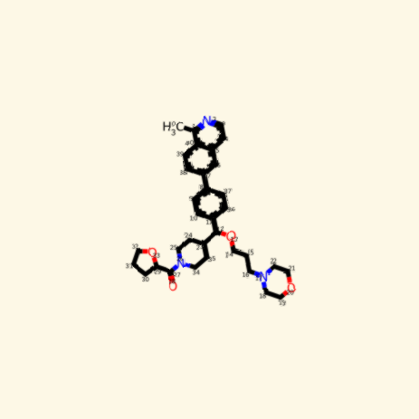 Cc1nccc2cc(-c3ccc(C(OCCCN4CCOCC4)C4CCN(C(=O)C5CCCO5)CC4)cc3)ccc12